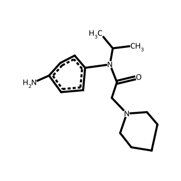 CC(C)N(C(=O)CN1CCCCC1)c1ccc(N)cc1